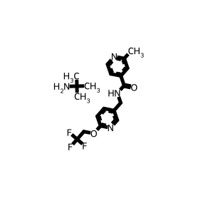 CC(C)(C)N.Cc1cc(C(=O)NCc2ccc(OCC(F)(F)F)nc2)ccn1